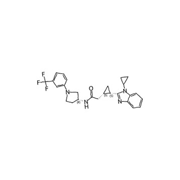 O=C(C[C@@H]1C[C@@H]1c1nc2ccccc2n1C1CC1)N[C@@H]1CCN(c2cccc(C(F)(F)F)c2)C1